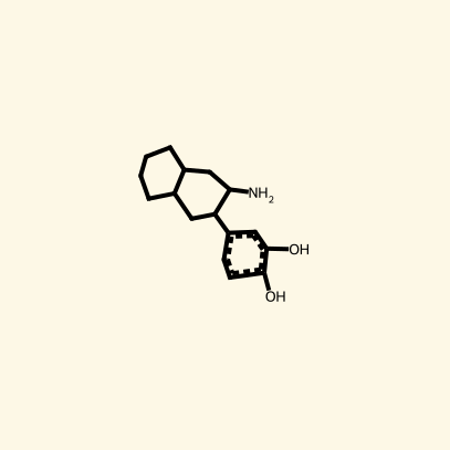 NC1CC2CCCCC2CC1c1ccc(O)c(O)c1